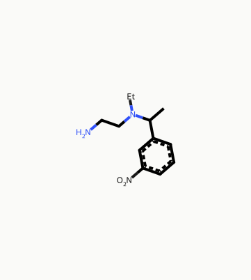 CCN(CCN)C(C)c1cccc([N+](=O)[O-])c1